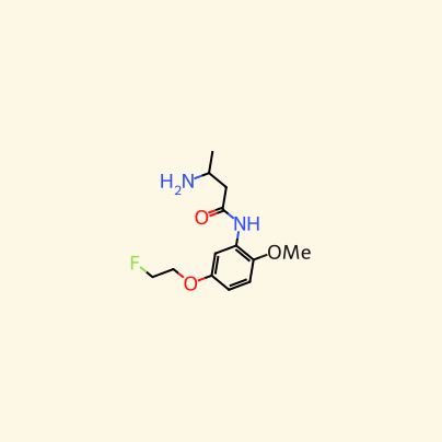 COc1ccc(OCCF)cc1NC(=O)CC(C)N